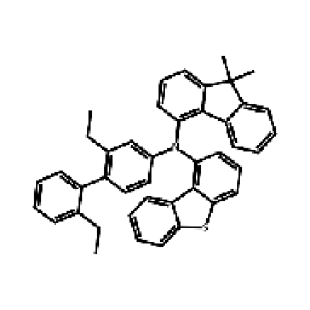 CCc1ccccc1-c1ccc(N(c2cccc3c2-c2ccccc2C3(C)C)c2cccc3sc4ccccc4c23)cc1CC